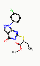 CCC(Sc1nc2c(cnn2-c2cccc(Cl)c2)c(=O)[nH]1)C(=O)OC